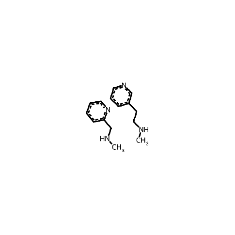 CNCCc1cccnc1.CNCc1ccccn1